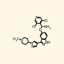 CN1CCC(n2cc(-c3n[nH]c4ccc(O[C@H](N)c5c(Cl)cncc5Cl)cc34)cn2)CC1